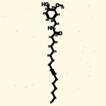 CCCCCCC#CCCCCCCCC(=O)NCc1ccc(O)c(OC)c1